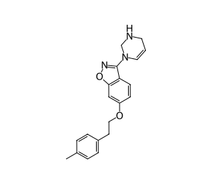 Cc1ccc(CCOc2ccc3c(N4C=CCNC4)noc3c2)cc1